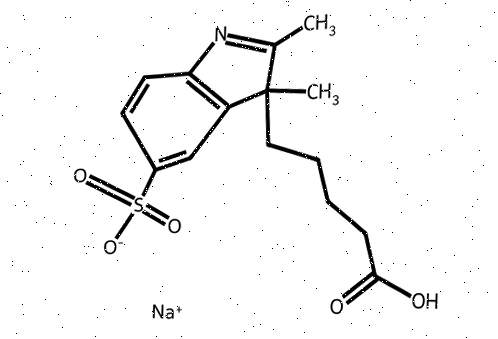 CC1=Nc2ccc(S(=O)(=O)[O-])cc2C1(C)CCCCC(=O)O.[Na+]